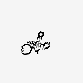 CC(C)C[C@H](NC(=O)[C@H](Cc1ccccc1)NC(=O)c1cnccn1)C1(B(O)O)CCCCCCCCCC1